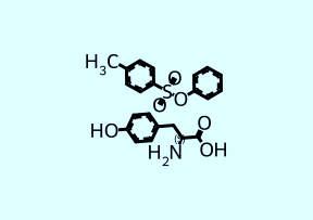 Cc1ccc(S(=O)(=O)Oc2ccccc2)cc1.N[C@@H](Cc1ccc(O)cc1)C(=O)O